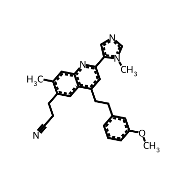 COc1cccc(CCc2cc(-c3cncn3C)nc3cc(C)c(CCC#N)cc23)c1